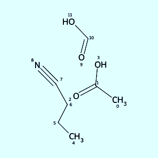 CC(=O)O.CCCC#N.O=CO